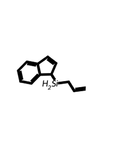 C=CC[SiH2]C1C=Cc2ccccc21